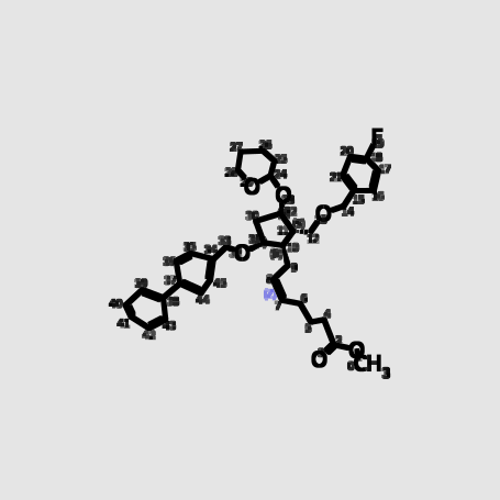 COC(=O)CCC/C=C\C[C@@H]1[C@@H](COCc2ccc(F)cc2)[C@H](OC2CCCCO2)C[C@@H]1OCc1ccc(-c2ccccc2)cc1